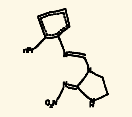 CCCc1ccccc1/N=C/N1CCN/C1=N\[N+](=O)[O-]